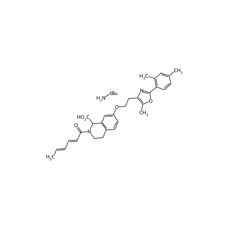 CC(C)(C)N.CC=CC=CC(=O)N1CCc2ccc(OCCc3nc(-c4ccc(C)cc4C)oc3C)cc2C1C(=O)O